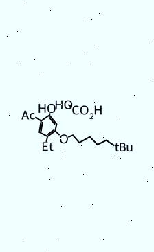 CCc1cc(C(C)=O)c(O)cc1OCCCCCC(C)(C)C.O=C(O)O